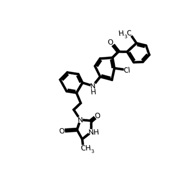 Cc1ccccc1C(=O)c1ccc(Nc2ccccc2CCN2C(=O)NC(C)C2=O)cc1Cl